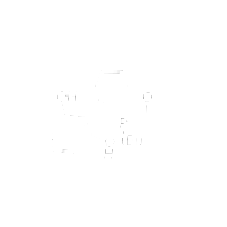 CC(C)(C)[P@]1COc2cccc(-c3c(O)cccc3O)c21